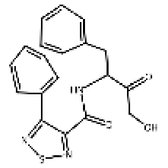 O=C(NC(Cc1ccccc1)C(=O)CO)c1nsnc1-c1ccccc1